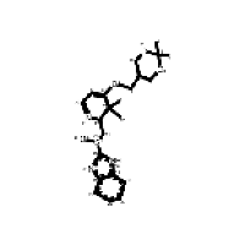 CC1(C)OCC(COC2=CC=NC(C[S+]([O-])c3nc4ccccc4[nH]3)C2(C)C)CO1